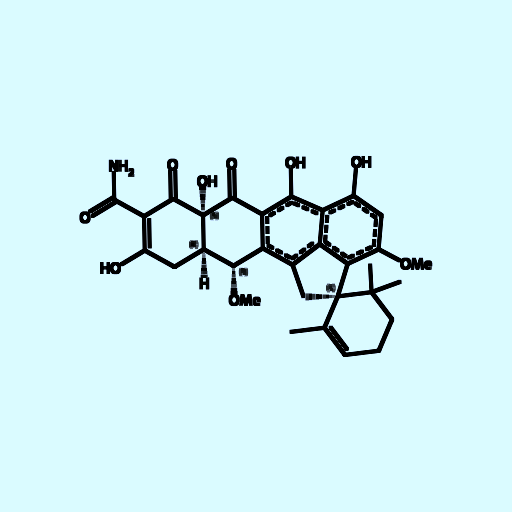 COc1cc(O)c2c(O)c3c(c4c2c1[C@]1(C4)C(C)=CCCC1(C)C)[C@H](OC)[C@H]1CC(O)=C(C(N)=O)C(=O)[C@@]1(O)C3=O